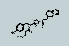 COCCC(=O)N(Cc1ccc(C#N)cc1)c1ncc(C(=O)NCc2ccc3nccn3c2)s1